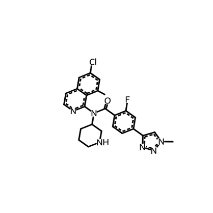 Cc1cc(Cl)cc2ccnc(N(C(=O)c3ccc(-c4cn(C)nn4)cc3F)C3CCCNC3)c12